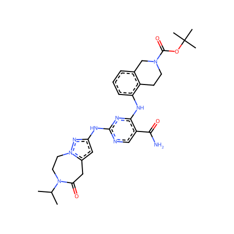 CC(C)N1CCn2nc(Nc3ncc(C(N)=O)c(Nc4cccc5c4CCN(C(=O)OC(C)(C)C)C5)n3)cc2CC1=O